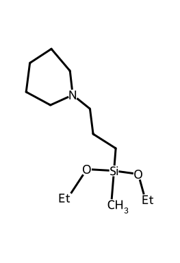 CCO[Si](C)(CCCN1CCCCC1)OCC